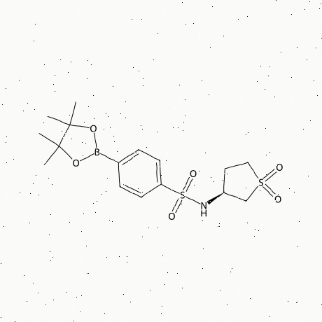 CC1(C)OB(c2ccc(S(=O)(=O)N[C@H]3CCS(=O)(=O)C3)cc2)OC1(C)C